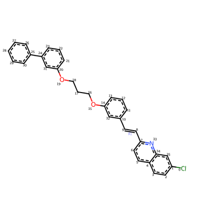 Clc1ccc2ccc(/C=C/c3cccc(OCCCOc4cccc(-c5[c]cccc5)c4)c3)nc2c1